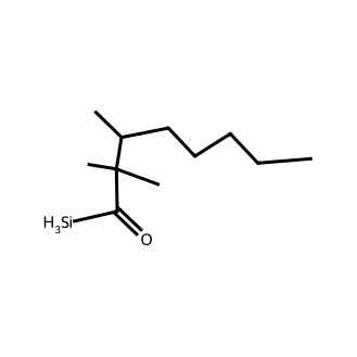 CCCCCC(C)C(C)(C)C(=O)[SiH3]